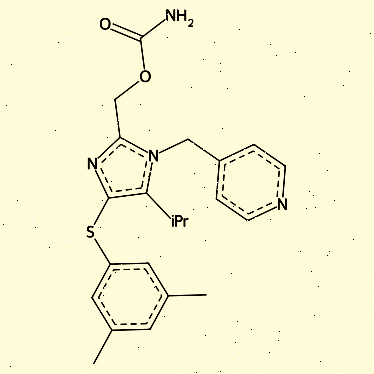 Cc1cc(C)cc(Sc2nc(COC(N)=O)n(Cc3ccncc3)c2C(C)C)c1